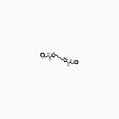 O=C(Cc1ccccn1)Nc1cn(CCCCn2cc(C(=O)NCc3ccccn3)nn2)nn1